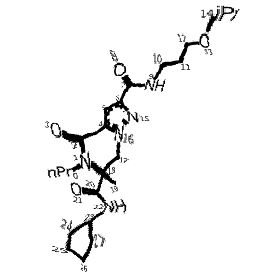 CCCN1C(=O)c2cc(C(=O)NCCCOC(C)C)nn2CC1(C)C(=O)NC1CCCC1